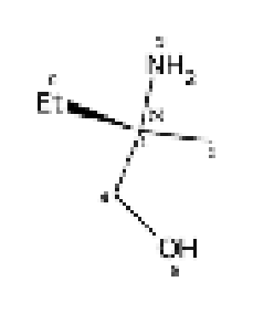 CC[C@](C)(N)CO